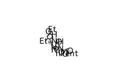 CCCCCc1nn2c(c1NC(=O)CS(C)(=O)=O)C(=O)N[C@@](C)(c1ccc(OCC)cc1CC)C2